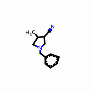 CC1CN(Cc2ccccc2)CC1C#N